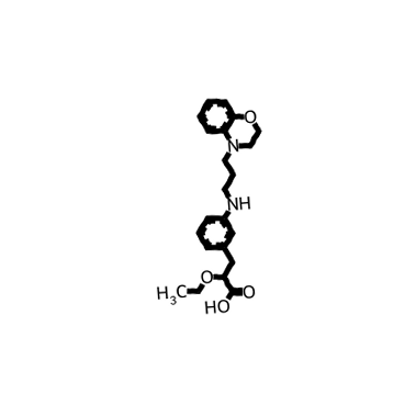 CCOC(Cc1cccc(NCCCN2CCOc3ccccc32)c1)C(=O)O